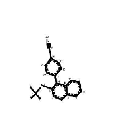 CC(C)(C)Sc1ccc2ccccc2c1-c1ccc(C#N)cc1